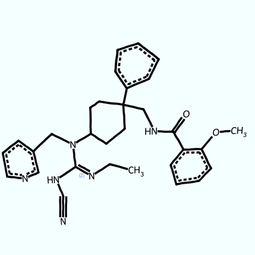 CC/N=C(/NC#N)N(Cc1cccnc1)C1CCC(CNC(=O)c2ccccc2OC)(c2ccccc2)CC1